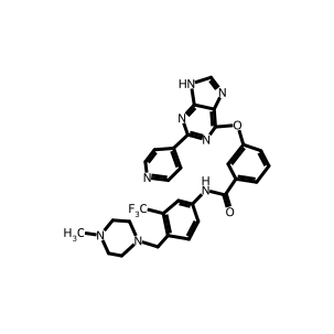 CN1CCN(Cc2ccc(NC(=O)c3cccc(Oc4nc(-c5ccncc5)nc5[nH]cnc45)c3)cc2C(F)(F)F)CC1